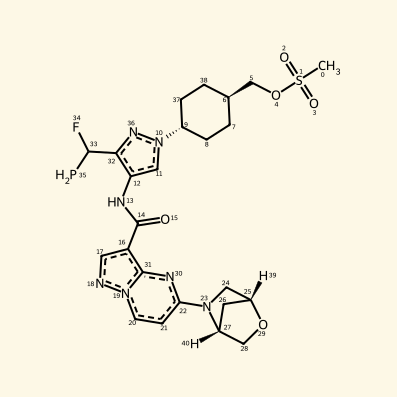 CS(=O)(=O)OC[C@H]1CC[C@H](n2cc(NC(=O)c3cnn4ccc(N5C[C@H]6C[C@@H]5CO6)nc34)c(C(F)P)n2)CC1